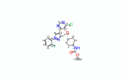 CC(C)(C)OC(=O)N[C@H]1CC[C@H](COc2c(Cl)ncnc2-c2cnn(-c3ccccc3F)c2)CC1